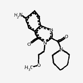 COCCn1c(C(=O)N2CCCCC2)nc2ccc(N)cc2c1=O